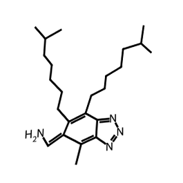 Cc1c2c(c(CCCCCC(C)C)c(CCCCCC(C)C)c1=CN)=NN=N2